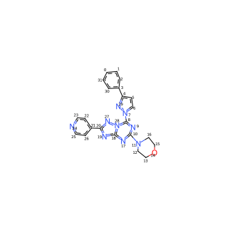 c1ccc(-c2ccn(-c3nc(N4CCOCC4)nc4nc(-c5ccncc5)nn34)n2)cc1